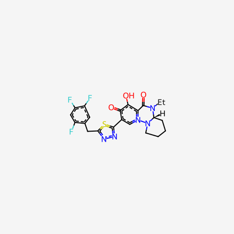 CCN1C(=O)c2c(O)c(=O)c(-c3nnc(Cc4cc(F)c(F)cc4F)s3)cn2N2CCCC[C@@H]12